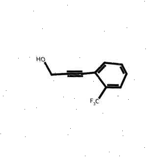 OCC#Cc1ccccc1C(F)(F)F